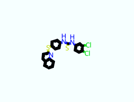 S=C(Nc1ccc(Sc2ccc3ccccc3n2)cc1)Nc1ccc(Cl)c(Cl)c1